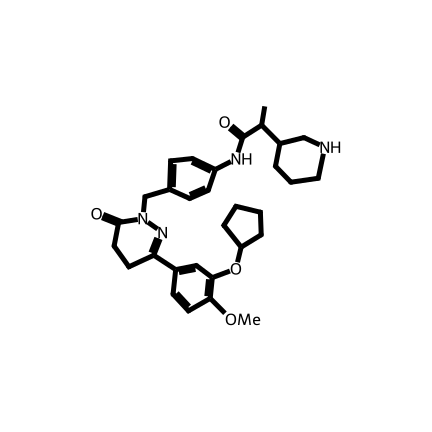 COc1ccc(C2=NN(Cc3ccc(NC(=O)C(C)C4CCCNC4)cc3)C(=O)CC2)cc1OC1CCCC1